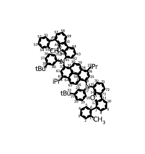 Cc1ccccc1-c1cccc2c1oc1c(N(c3cccc(C(C)(C)C)c3)c3cc(C(C)C)c4ccc5c(N(c6cccc(C(C)(C)C)c6)c6cccc7c6oc6c(-c8ccccc8C)cccc67)cc(C(C)C)c6ccc3c4c65)cccc12